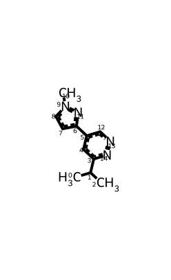 CC(C)c1cc(-c2ccn(C)n2)cnn1